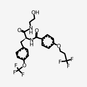 O=C(N[C@@H](Cc1ccc(OC(F)(F)F)cc1)C(=O)NCCO)c1ccc(OCCC(F)(F)F)cc1